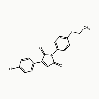 CCOc1ccc(N2C(=O)C=C(c3ccc(Cl)cc3)C2=O)cc1